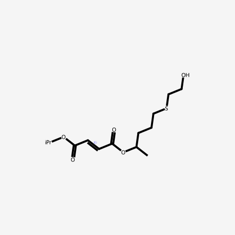 CC(C)OC(=O)/C=C/C(=O)OC(C)CCCSCCO